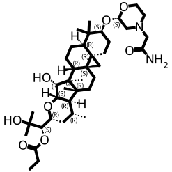 CCC(=O)O[C@@H]([C@H]1C[C@@H](C)[C@H]2[C@H](O1)[C@H](O)[C@@]1(C)[C@@H]3CC[C@H]4C(C)(C)[C@@H](O[C@H]5CN(CC(N)=O)CCO5)CC[C@@]45C[C@@]35CC[C@]21C)C(C)(C)O